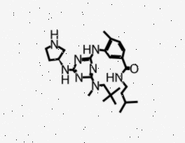 Cc1ccc(C(=O)NCCC(C)C)cc1Nc1nc(N[C@H]2CCNC2)nc(N(C)CC(C)(C)C)n1